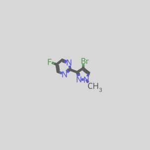 Cn1cc(Br)c(-c2ncc(F)cn2)n1